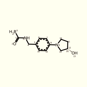 BC(=O)NCc1ccc(N2CC[C@H](O)C2)cc1